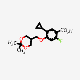 CC1(C)OCC(COc2cc(F)c(C(=O)O)cc2C2CC2)CO1